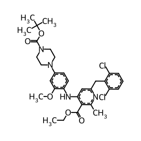 CCOC(=O)c1c(Nc2ccc(N3CCN(C(=O)OC(C)(C)C)CC3)cc2OC)cc(Cc2c(Cl)cccc2Cl)nc1C